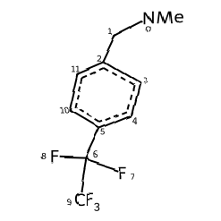 CNCc1ccc(C(F)(F)C(F)(F)F)cc1